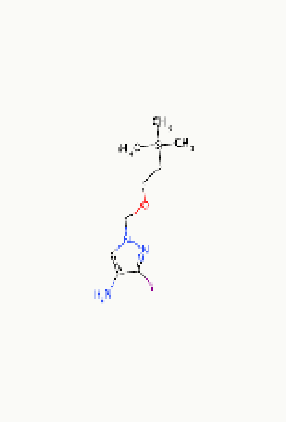 C[Si](C)(C)CCOCn1cc(N)c(I)n1